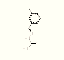 Cc1cccc(/C=N/NC(=N)N)c1